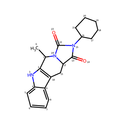 CC1c2[nH]c3ccccc3c2CC2C(=O)N(C3CCCCC3)C(=O)N21